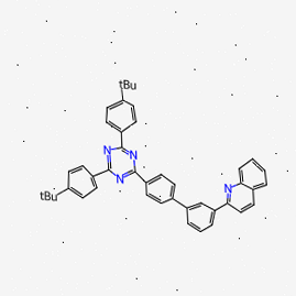 CC(C)(C)c1ccc(-c2nc(-c3ccc(-c4cccc(-c5ccc6ccccc6n5)c4)cc3)nc(-c3ccc(C(C)(C)C)cc3)n2)cc1